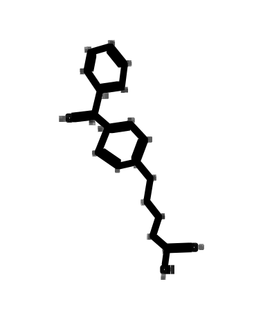 O=C(O)CCCCc1ccc(C(=O)c2ccccc2)cc1